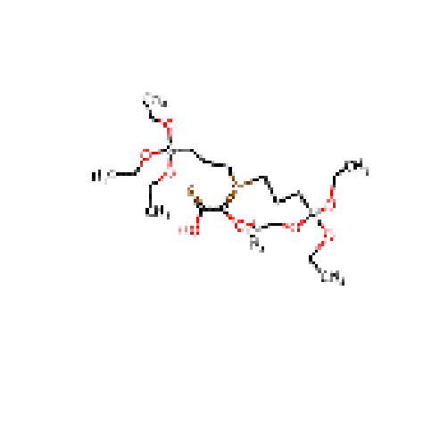 CCO[Si](CCCS(CCC[Si](OCC)(OCC)OCC)=C(O)C(O)=S)(OCC)OCC